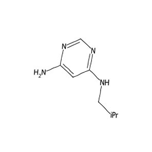 CC(C)CNc1cc(N)ncn1